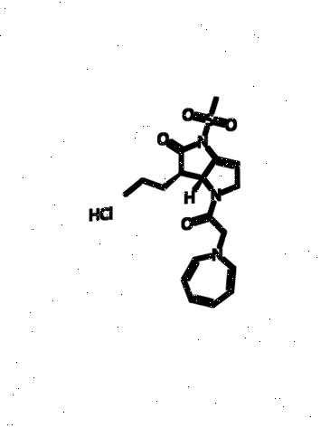 CCC[C@H]1C(=O)N(S(C)(=O)=O)C2=CCN(C(=O)CN3C=CC=CC=C3)[C@@H]21.Cl